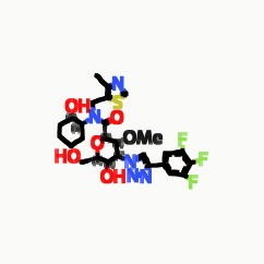 CO[C@@H]1[C@@H](n2cc(-c3cc(F)c(F)c(F)c3)nn2)[C@@H](O)[C@@H](CO)O[C@H]1C(=O)N(Cc1scnc1C)[C@H]1CCCC[C@@H]1O